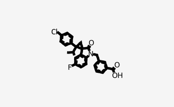 CC(C)C1(c2ccc(Cl)cc2)CC12C(=O)N(Cc1cccc(C(=O)O)c1)c1ccc(F)cc12